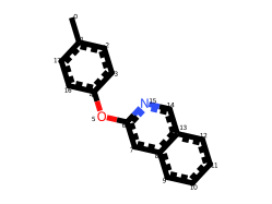 Cc1ccc(Oc2cc3ccccc3cn2)cc1